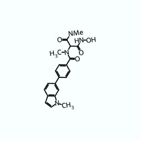 CNC(=O)C(C(=O)NO)N(C)C(=O)c1ccc(-c2ccc3ccn(C)c3c2)cc1